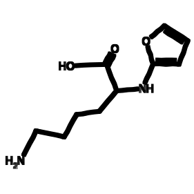 NCCCCC(Nc1ccco1)C(=O)O